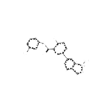 Cc1cccc(NC(=O)c2nc(-c3ccc4cnn(C)c4c3)ccc2C)c1